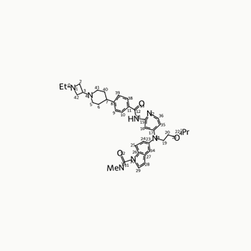 CCN1CC(N2CCC(c3ccc(C(=O)Nc4cc(N(CCOC(C)C)c5ccc6c(ccn6C(=O)NC)c5)ccn4)cc3)CC2)C1